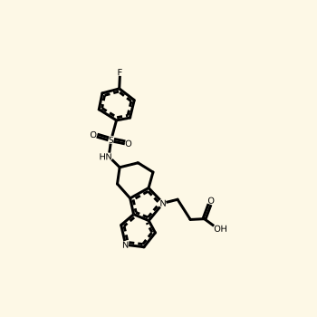 O=C(O)CCn1c2c(c3cnccc31)CC(NS(=O)(=O)c1ccc(F)cc1)CC2